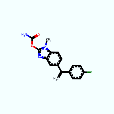 C=C(c1ccc(F)cc1)c1ccc2c(c1)nc(OC(N)=O)n2C